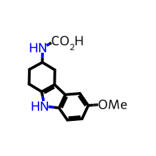 COc1ccc2[nH]c3c(c2c1)CC(NC(=O)O)CC3